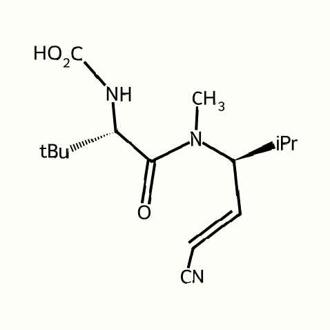 CC(C)[C@@H](/C=C/C#N)N(C)C(=O)[C@@H](NC(=O)O)C(C)(C)C